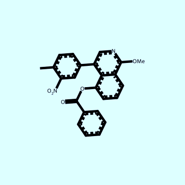 COc1ncc(-c2ccc(C)c([N+](=O)[O-])c2)c2c(OC(=O)c3ccccc3)cccc12